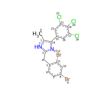 Cc1[nH]c(Cc2ccc(Br)cc2Br)nc1-c1cc(Cl)c(Cl)c(Cl)c1